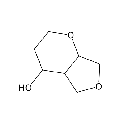 OC1CCOC2COCC12